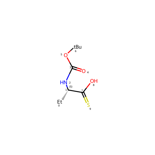 CC[C@H](NC(=O)OC(C)(C)C)C(O)=S